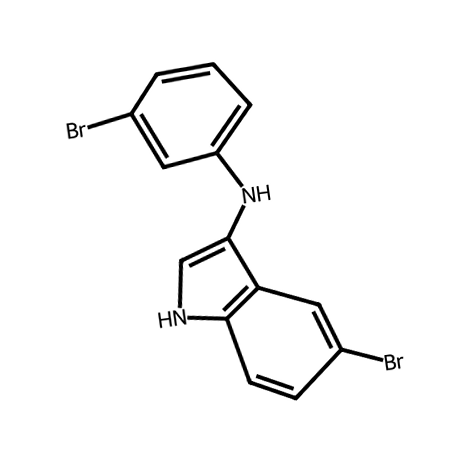 Brc1cccc(Nc2c[nH]c3ccc(Br)cc23)c1